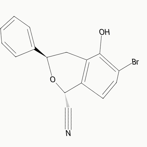 N#C[C@@H]1O[C@@H](c2ccccc2)Cc2c1ccc(Br)c2O